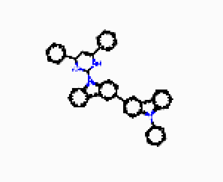 C1=C(c2ccccc2)NC(n2c3ccccc3c3cc(-c4ccc5c(c4)c4ccccc4n5-c4ccccc4)ccc32)NC1c1ccccc1